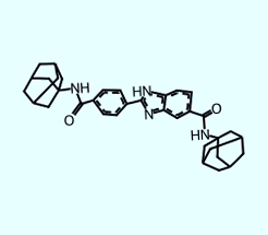 O=C(NC12CC3CC(CC(C3)C1)C2)c1ccc(-c2nc3cc(C(=O)NC45CC6CC(CC(C6)C4)C5)ccc3[nH]2)cc1